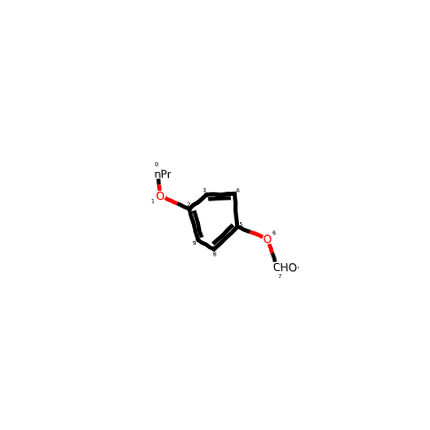 CCCOc1ccc(O[C]=O)cc1